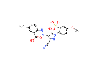 COc1ccc(-n2nc(C#N)c(N=Nc3ccc(C)cc3C(=O)O)c2O)c(S(=O)(=O)O)c1